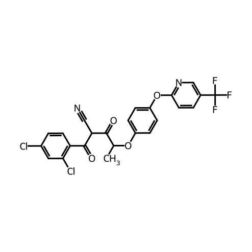 CC(Oc1ccc(Oc2ccc(C(F)(F)F)cn2)cc1)C(=O)C(C#N)C(=O)c1ccc(Cl)cc1Cl